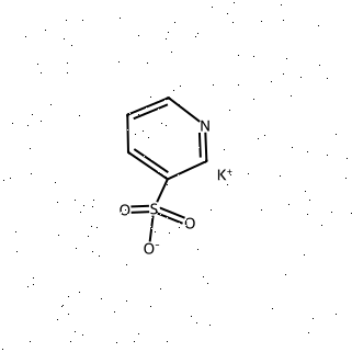 O=S(=O)([O-])c1cccnc1.[K+]